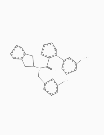 COc1cccc(-c2ccccc2C(=O)N(Cc2cccc(C)c2)C2Cc3ccccc3C2)c1